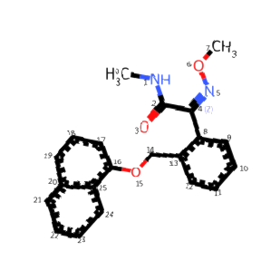 CNC(=O)/C(=N\OC)c1ccccc1COc1cccc2ccccc12